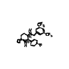 O=C1CC[C@@H](NCc2cc(C(F)(F)F)cc(C(F)(F)F)c2)[C@@H](c2ccc(F)cc2)N1